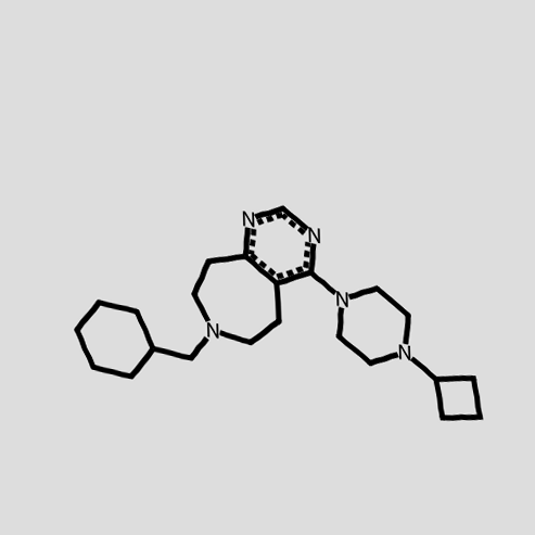 c1nc2c(c(N3CCN(C4CCC4)CC3)n1)CCN(CC1CCCCC1)CC2